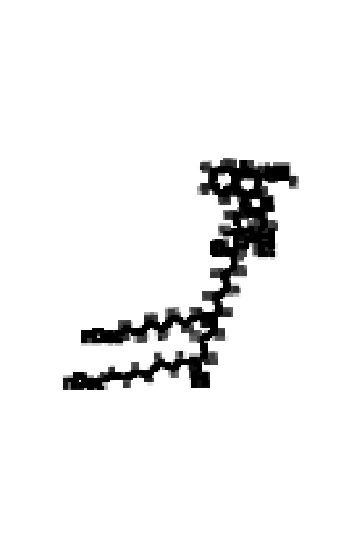 CCCCCCCCCCCCCCCCCN(CC)CCCN(CCCCCCCCCCCCCCCCC)CCCCCC(=O)OC(C)(C)Cn1c(CNCC)nc2c(N)nc3ccccc3c21